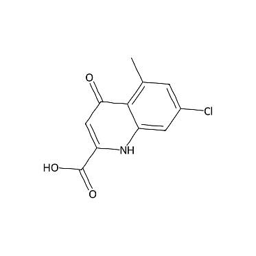 Cc1cc(Cl)cc2[nH]c(C(=O)O)cc(=O)c12